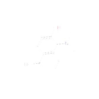 CCc1c(C(=O)O)ccc(O)c1[N+](=O)[O-]